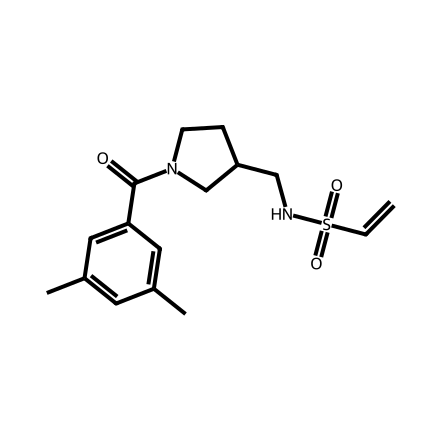 C=CS(=O)(=O)NCC1CCN(C(=O)c2cc(C)cc(C)c2)C1